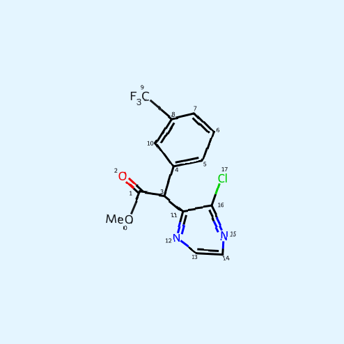 COC(=O)C(c1cccc(C(F)(F)F)c1)c1nccnc1Cl